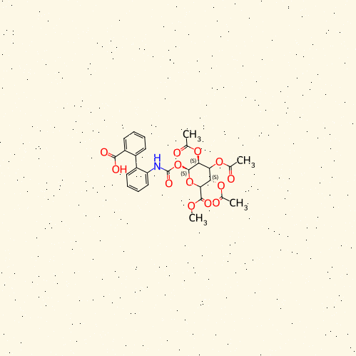 COC(=O)C1O[C@@H](OC(=O)Nc2ccccc2-c2ccccc2C(=O)O)[C@@H](OC(C)=O)C(OC(C)=O)[C@@H]1OC(C)=O